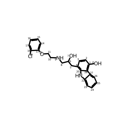 Oc1ccc(CC(O)CNCCOc2ccccc2Cl)c2[nH]c3ccccc3c12